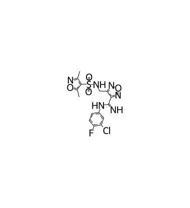 Cc1noc(C)c1S(=O)(=O)NCc1nonc1C(=N)Nc1ccc(F)c(Cl)c1